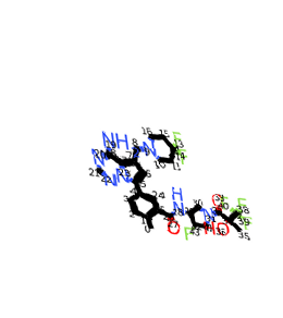 Cc1ccc(-c2cc(CN3CCC(F)(F)CC3)c3c(N)ncnn23)cc1C(=O)N[C@@H]1CN(C(=O)C(C)(O)C(F)(F)F)C[C@@H]1F